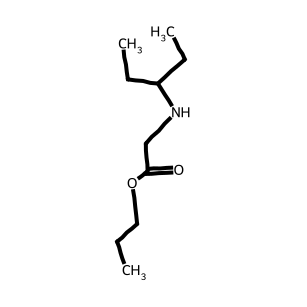 CCCOC(=O)CNC(CC)CC